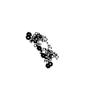 CCN[C@@H](C)C(=O)N[C@H](C(=O)N1Cc2cc(OCc3ccc(C(=O)N[C@H]4C[C@@H](C(=O)N[C@@H]5CCCc6ccccc65)N(C(=O)C(NC(=O)[C@H](C)NC)C(C)(C)C)C4)cc3)ccc2C[C@H]1C(=O)N[C@@H]1CCCc2ccccc21)C(C)(C)C